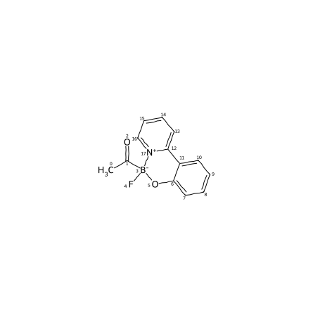 CC(=O)[B-]1(F)Oc2ccccc2-c2cccc[n+]21